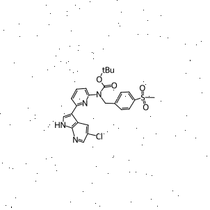 CC(C)(C)OC(=O)N(Cc1ccc(S(C)(=O)=O)cc1)c1cccc(-c2c[nH]c3ncc(Cl)cc23)n1